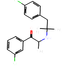 CC(NC(C)(C)Cc1ccc(Cl)cc1)C(=O)c1cccc(Cl)c1